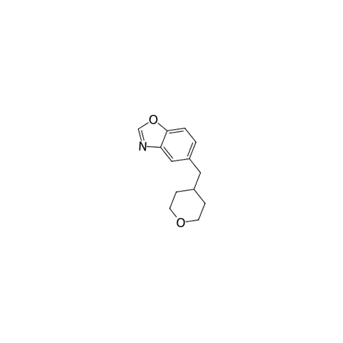 c1nc2cc(CC3CCOCC3)ccc2o1